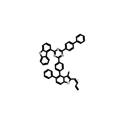 C=C/C=C\C1=C(C)C2C(c3ccc(-c4nc(-c5ccc(-c6ccccc6)cc5)nc(-c5cccc6sc7ccccc7c56)n4)cc3)=C(c3ccccc3)C=CC2O1